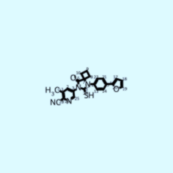 Cc1cc(N2C(=O)C3(CCC3)N(c3ccc(-c4ccco4)cc3)C2S)cnc1C#N